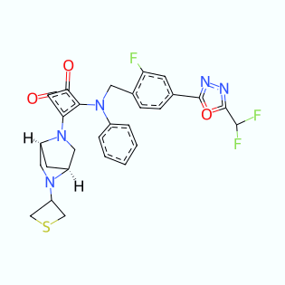 O=c1c(N(Cc2ccc(-c3nnc(C(F)F)o3)cc2F)c2ccccc2)c(N2C[C@@H]3C[C@H]2CN3C2CSC2)c1=O